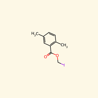 Cc1ccc(C)c(C(=O)OCI)c1